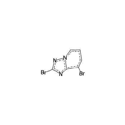 Brc1nc2c(Br)cccn2n1